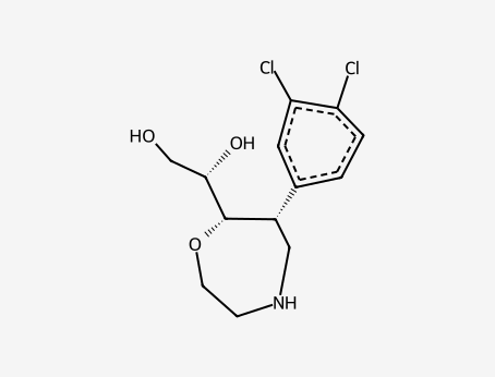 OC[C@H](O)[C@H]1OCCNC[C@H]1c1ccc(Cl)c(Cl)c1